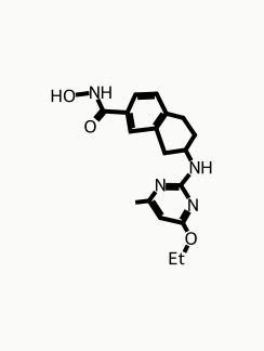 CCOc1cc(C)nc(NC2CCc3ccc(C(=O)NO)cc3C2)n1